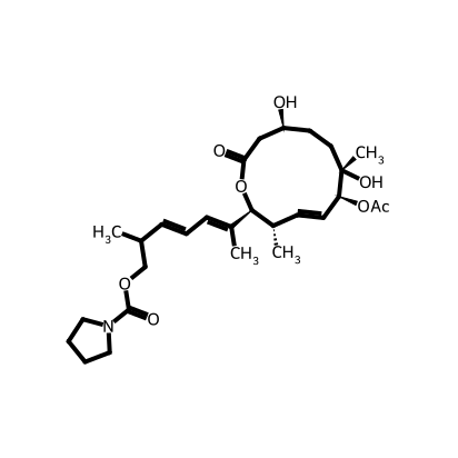 CC(=O)O[C@H]1/C=C/[C@H](C)[C@@H](/C(C)=C/C=C/C(C)COC(=O)N2CCCC2)OC(=O)C[C@@H](O)CC[C@]1(C)O